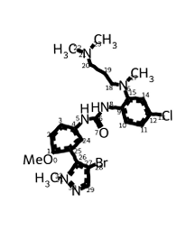 COc1ccc(NC(=O)Nc2ccc(Cl)cc2N(C)CCCN(C)C)cc1-c1c(Br)cnn1C